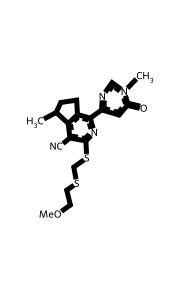 COCCSCSc1nc(-c2cc(=O)n(C)cn2)c2c(c1C#N)C(C)CC2